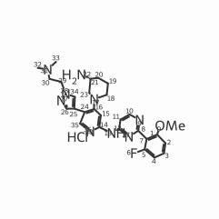 COc1cccc(F)c1-c1nccc(Nc2cc(N3CCC[C@H](N)C3)c(-c3cnn(CCN(C)C)c3)cn2)n1.Cl